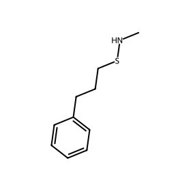 CNSCCCc1ccccc1